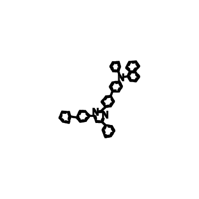 c1ccc(-c2ccc(-c3cc(-c4ccccc4)nc(-c4ccc(-c5ccc(N(c6ccccc6)c6cccc7ccccc67)cc5)cc4)n3)cc2)cc1